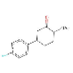 CC(=O)OC1CCC(c2ccc(F)cc2)CC1=O